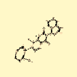 O=c1[nH]c2c(F)c(-c3ccccc3Cl)ccc2c(=O)n1-c1cccc2ccccc12